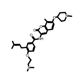 CC(C)=CCc1cc(C(=O)Nc2cc3ccc(OC4CCN(C)CC4)c(C)c3oc2=O)ccc1OCCN(C)C